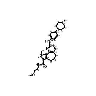 COCCNC(=O)c1nn(C)c2c1CCCc1cnc(Nc3ccc(N4CCN(C)CC4)cc3)nc1-2